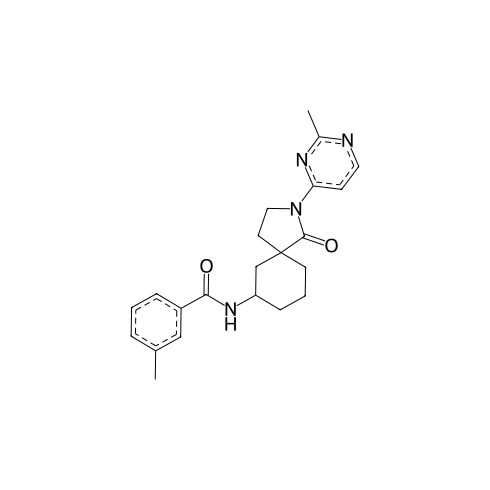 Cc1cccc(C(=O)NC2CCCC3(CCN(c4ccnc(C)n4)C3=O)C2)c1